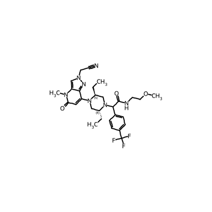 CC[C@H]1CN(C(C(=O)NCCOC)c2ccc(C(F)(F)F)cc2)[C@H](CC)CN1c1cc(=O)n(C)c2cn(CC#N)nc12